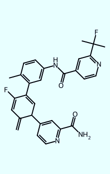 C=C1C=C(F)C(c2cc(NC(=O)c3ccnc(C(C)(C)F)c3)ccc2C)=CC1c1ccnc(C(N)=O)c1